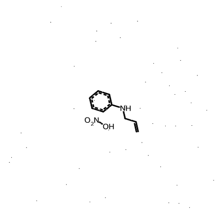 C=CCNc1ccccc1.O=[N+]([O-])O